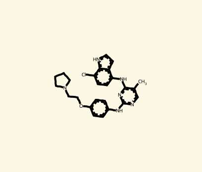 Cc1cnc(Nc2ccc(OCCN3CCCC3)cc2)nc1Nc1ccc(Cl)c2[nH]ccc12